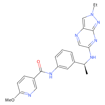 CCn1cc2ncc(N[C@@H](C)c3cccc(NC(=O)c4ccc(OC)nc4)c3)nc2n1